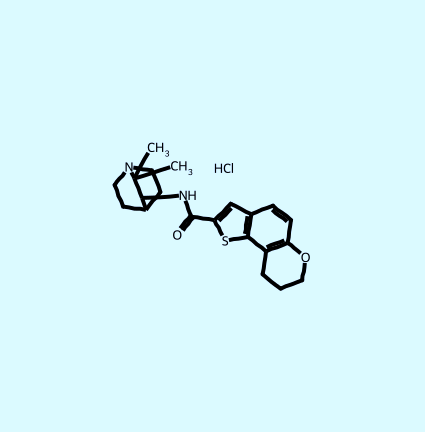 CC1(C)C(NC(=O)c2cc3ccc4c(c3s2)CCCO4)C2CCN1CC2.Cl